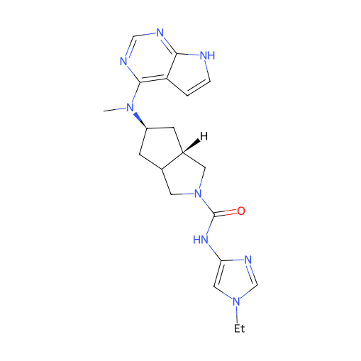 CCn1cnc(NC(=O)N2CC3C[C@@H](N(C)c4ncnc5[nH]ccc45)C[C@@H]3C2)c1